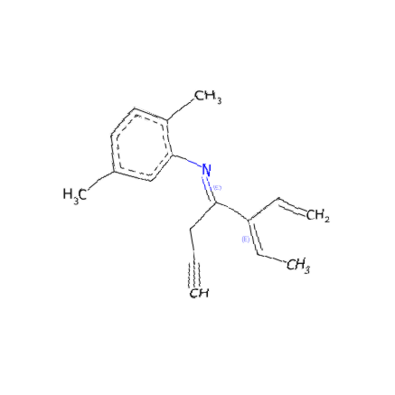 C#CCC(=N\c1cc(C)ccc1C)/C(C=C)=C/C